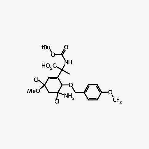 COC1(Cl)C=C(C(C)(NC(=O)OC(C)(C)C)C(=O)O)C(OCc2ccc(OC(F)(F)F)cc2)C(N)(Cl)C1